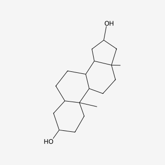 CC12CCC3C(CCC4CC(O)CCC43C)C1CC(O)C2